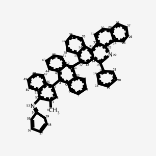 Cc1cc(-c2c3ccccc3c(-c3cc4c(-c5ccccc5)nc5c6ccccc6ccc5c4c4ccccc34)c3ccccc23)c2ccccc2c1/N=C1/C=CC=CC1